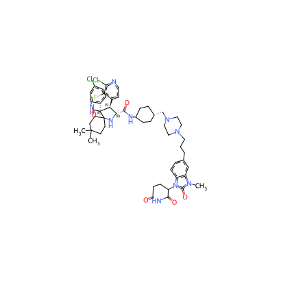 Cn1c(=O)n(C2CCC(=O)NC2=O)c2ccc(CCCN3CCN(C[C@H]4CC[C@H](NC(=O)[C@@H]5NC6(CCC(C)(C)CC6)[C@@]6(C(=O)Nc7cc(Cl)ccc76)[C@H]5c5ccnc(Cl)c5F)CC4)CC3)cc21